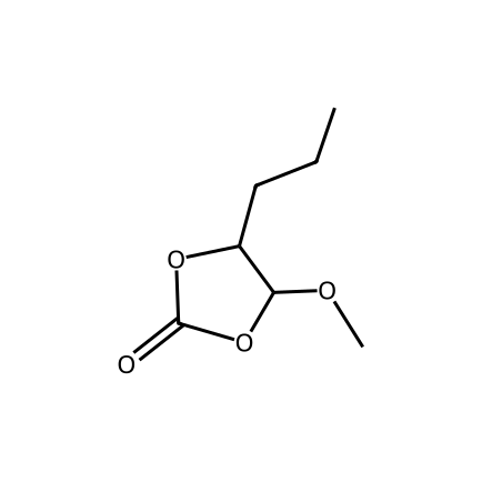 CCCC1OC(=O)OC1OC